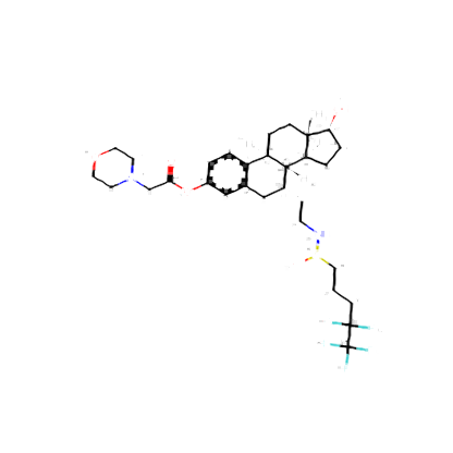 C[C@]12CC[C@@H]3c4ccc(OC(=O)CN5CCOCC5)cc4C[C@@H](CCN[S+]([O-])CCCC(F)(F)C(F)(F)F)[C@H]3[C@@H]1CC[C@@H]2O